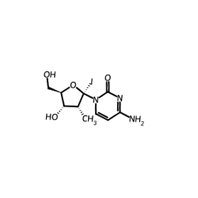 C[C@@H]1[C@H](O)[C@@H](CO)O[C@@]1(I)n1ccc(N)nc1=O